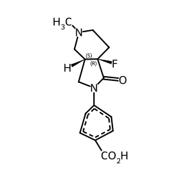 CN1CC[C@]2(F)C(=O)N(c3ccc(C(=O)O)cc3)C[C@@H]2C1